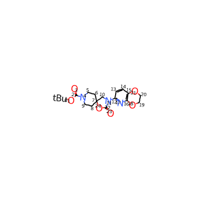 CC(C)(C)OC(=O)N1CCC2(CC1)CN(c1ccc3c(n1)OCCO3)C(=O)O2